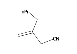 C=C(CC#N)CCCC